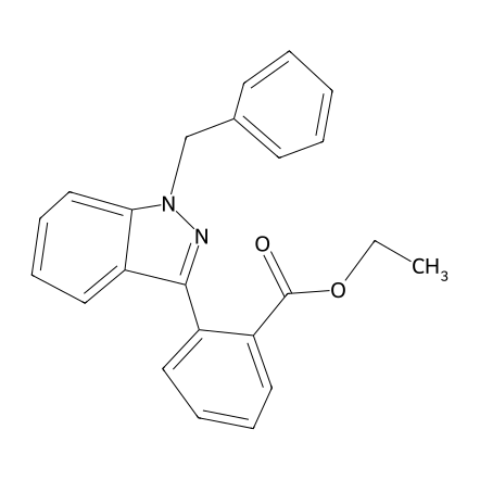 CCOC(=O)c1ccccc1-c1nn(Cc2ccccc2)c2ccccc12